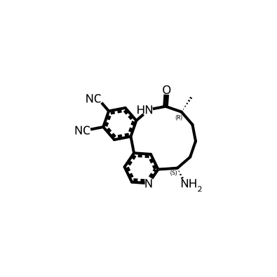 C[C@@H]1CCC[C@H](N)c2cc(ccn2)-c2cc(C#N)c(C#N)cc2NC1=O